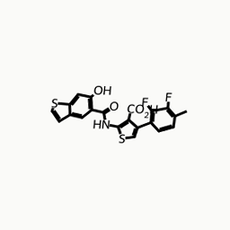 Cc1ccc(-c2csc(NC(=O)c3cc4ccsc4cc3O)c2C(=O)O)c(F)c1F